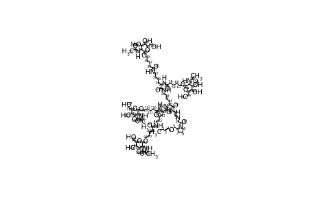 CCC=COC[C@@H]1CCCN1C(=O)CNCCNC(=O)C(CCCCNC(=O)C(CCCCNC(=O)CCCCOC1OC(CO)C(O)C(O)C1NC(C)=O)NC(=O)CCCCOC1OC(CO)C(O)C(O)C1NC(C)=O)NC(=O)C(CCCCNC(=O)CCCCOC1OC(CO)C(O)C(O)C1NC(C)=O)NC(=O)CCCCOC1OC(CO)C(O)C(O)C1NC(C)=O